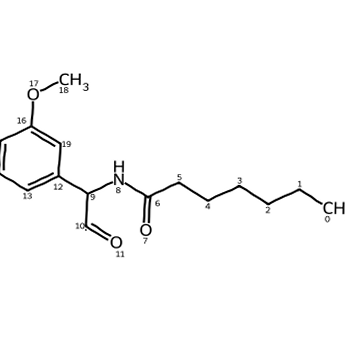 CCCCCCC(=O)NC([C]=O)c1cccc(OC)c1